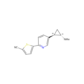 CN[C@H]1C[C@@H]1c1ccc(-c2ccc(C#N)s2)nc1